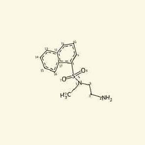 CN(CCN)S(=O)(=O)c1cccc2ccccc12